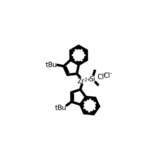 C[Si](C)=[Zr+2]([CH]1C=C(C(C)(C)C)c2ccccc21)[CH]1C=C(C(C)(C)C)c2ccccc21.[Cl-].[Cl-]